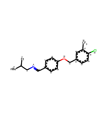 CCCCC(CC)C/N=C/c1ccc(OCc2ccc(Cl)c(C(F)(F)F)c2)cc1